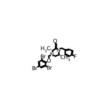 C[C@@H]1C(=C=O)N(Cc2ccc(F)cc2)[C@@H](C)CN1COc1c(Br)cc(Br)cc1Br